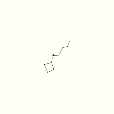 CCCC[P]C1CCC1